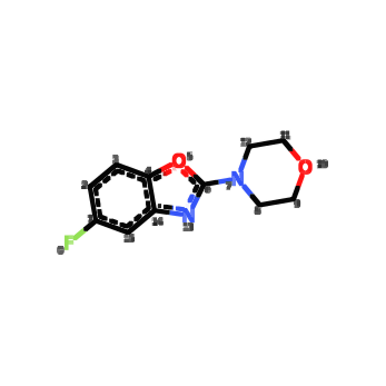 Fc1ccc2oc(N3CCOCC3)nc2c1